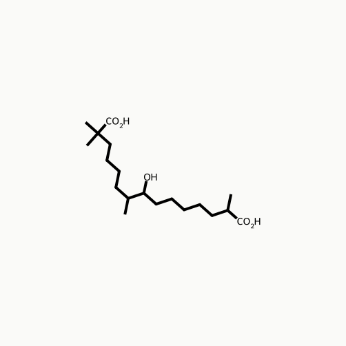 CC(CCCCCC(O)C(C)CCCCC(C)(C)C(=O)O)C(=O)O